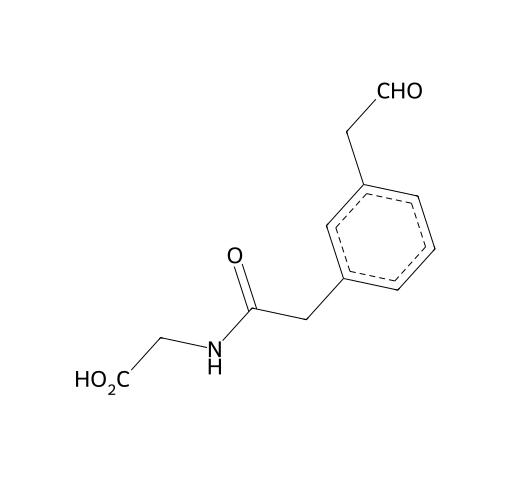 O=CCc1cccc(CC(=O)NCC(=O)O)c1